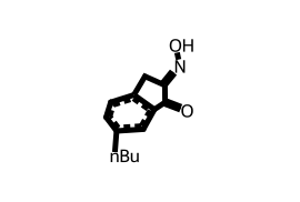 CCCCc1ccc2c(c1)C(=O)C(=NO)C2